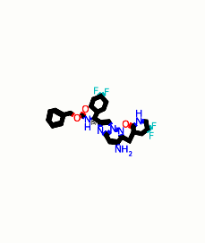 Nc1cc2nc([C@@H](NC(=O)OCc3ccccc3)C3CCC(F)(F)CC3)cn2nc1CC1CC(F)(F)CNC1=O